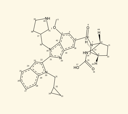 COc1cc(C(=O)N2C[C@H]3CC[C@@H]2[C@@H]3NC(=O)O)cc2nc(-c3cc4ccccc4n3CC3CC3)n(CC3CCNC3)c12